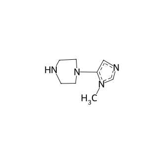 Cn1cncc1N1CCNCC1